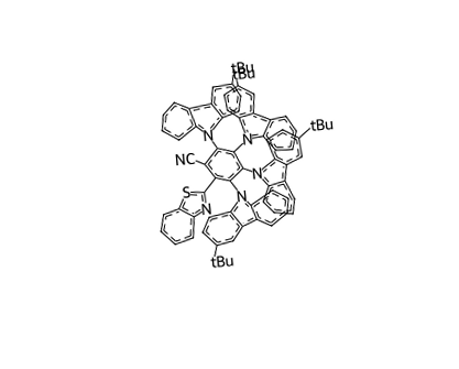 CC(C)(C)c1ccc2c(c1)c1ccccc1n2-c1c(C#N)c(-c2nc3ccccc3s2)c(-n2c3ccccc3c3cc(C(C)(C)C)ccc32)c(-n2c3ccccc3c3cc(C(C)(C)C)ccc32)c1-n1c2ccccc2c2cc(C(C)(C)C)ccc21